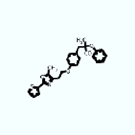 Cc1oc(-c2cccs2)nc1CCOc1ccc(CC(C)(Oc2ccccc2)C(=O)O)cc1